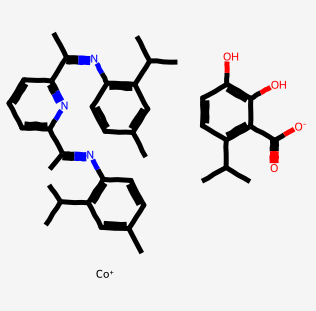 CC(=Nc1ccc(C)cc1C(C)C)c1cccc(C(C)=Nc2ccc(C)cc2C(C)C)n1.CC(C)c1ccc(O)c(O)c1C(=O)[O-].[Co+]